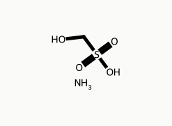 N.O=S(=O)(O)CO